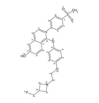 CS(=O)(=O)c1ccc(-c2ccc3cc(O)ccc3c2Oc2ccc(OCCN3CC(CF)C3)cc2)cc1